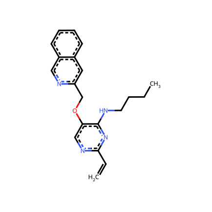 C=Cc1ncc(OCc2cc3ccccc3cn2)c(NCCCC)n1